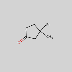 CC(C)C1(C)CCC(=O)C1